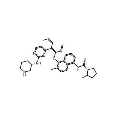 C=N/C(Oc1c(C)ccc2c(NC(=O)[C@H]3CCCC3C)cccc12)=C(\C=C/C)c1ccnc(N[C@H]2CCCNC2)n1